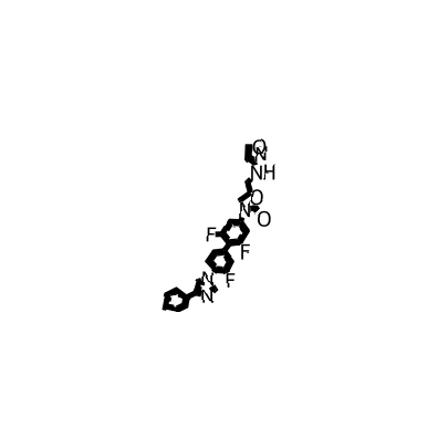 O=C1OC(CNc2ccon2)CN1c1cc(F)c(-c2ccc(-n3cnc(-c4ccccc4)c3)c(F)c2)c(F)c1